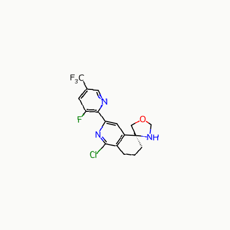 Fc1cc(C(F)(F)F)cnc1-c1cc2c(c(Cl)n1)CCC[C@@]21COCN1